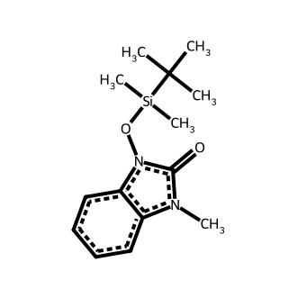 Cn1c(=O)n(O[Si](C)(C)C(C)(C)C)c2ccccc21